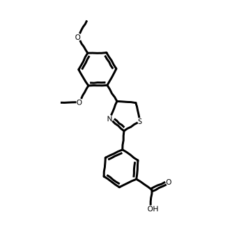 COc1ccc(C2CSC(c3cccc(C(=O)O)c3)=N2)c(OC)c1